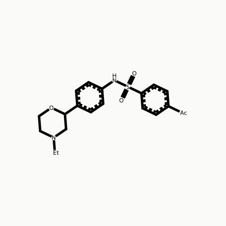 CCN1CCOC(c2ccc(NS(=O)(=O)c3ccc(C(C)=O)cc3)cc2)C1